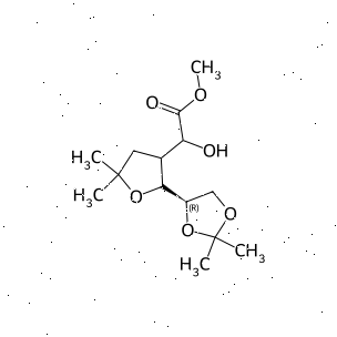 COC(=O)C(O)C1CC(C)(C)OC1[C@H]1COC(C)(C)O1